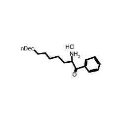 CCCCCCCCCCCCCCCC(N)C(=O)c1ccccc1.Cl